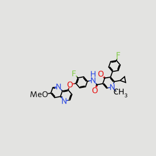 COc1cnc2c(Oc3ccc(NC(=O)c4cn(C)c(C5CC5)c(-c5ccc(F)cc5)c4=O)cc3F)ccnc2c1